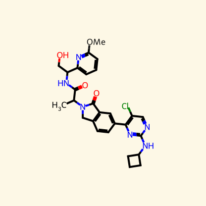 COc1cccc(C(CO)NC(=O)C(C)N2Cc3ccc(-c4nc(NC5CCC5)ncc4Cl)cc3C2=O)n1